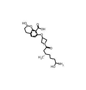 C[C@@H](CCCC(N)O)CC(=O)N1CC(Oc2ccc3c(c2C(=O)O)OB(O)CC3)C1